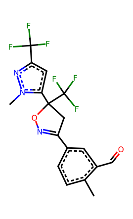 Cc1ccc(C2=NOC(c3cc(C(F)(F)F)nn3C)(C(F)(F)F)C2)cc1C=O